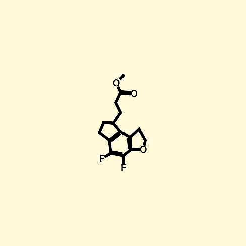 COC(=O)CCC1CCc2c(F)c(F)c3c(c21)CCO3